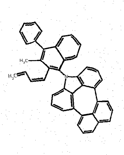 C=C/C=C\c1c(C)c(-c2ccccc2)c2ccccc2c1-n1c2cccc3c2c2c(cccc21)-c1cccc2cccc-3c12